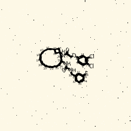 O=C(COc1ccc(Cl)c(Cl)c1)NC12CC(CCCCCCCCCC(NC(=O)NCc3cccc(F)c3)C1)C2